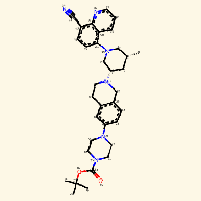 C[C@@H]1C[C@H](N2CCc3cc(N4CCN(C(=O)OC(C)(C)C)CC4)ccc3C2)CN(c2ccc(C#N)c3ncccc23)C1